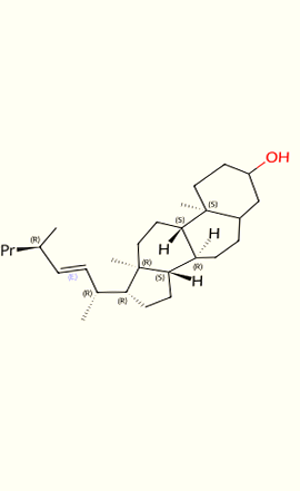 CC(C)[C@@H](C)/C=C/[C@@H](C)[C@H]1CC[C@H]2[C@@H]3CCC4CC(O)CC[C@]4(C)[C@H]3CC[C@]12C